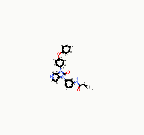 C=CC(=O)Nc1cccc(-n2c(=O)n(-c3ccc(Oc4ccccc4)cc3)c3cnccc32)c1